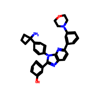 NC1(c2ccc(-n3c(-c4cccc(O)c4)nc4ccc(-c5cccc(N6CCOCC6)c5)nc43)cc2)CCC1